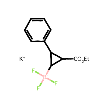 CCOC(=O)C1C(c2ccccc2)C1[B-](F)(F)F.[K+]